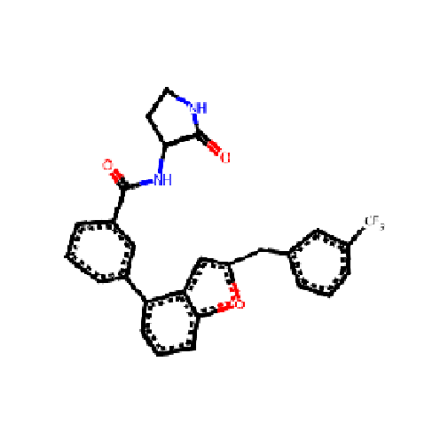 O=C(NC1CCNC1=O)c1cccc(-c2cccc3oc(Cc4cccc(C(F)(F)F)c4)cc23)c1